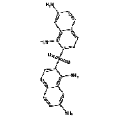 Nc1ccc2ccc(S(=O)(=O)c3ccc4ccc(N)cc4c3N)c(N)c2c1